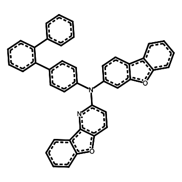 c1ccc(-c2ccccc2-c2ccc(N(c3ccc4c(c3)oc3ccccc34)c3ccc4oc5ccccc5c4n3)cc2)cc1